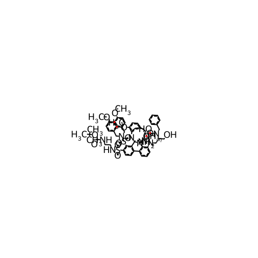 COc1ccc(CN(Cc2ccc(OC)cc2)S(=O)(=O)c2c(S(=O)(=O)NCCNC(=O)OC(C)(C)C)ccc(-c3cccc(N(C=O)C[C@H](CO)N(Cc4ccccc4)C(=O)O)c3N)c2C2=Nc3cc(ccc3OC)CNN=N2)cc1